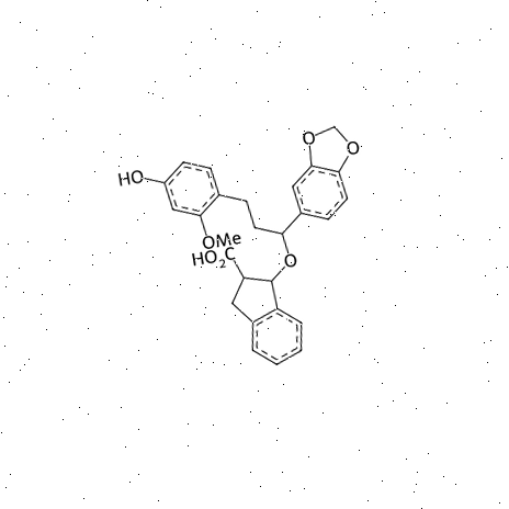 COc1cc(O)ccc1CCC(OC1c2ccccc2CC1C(=O)O)c1ccc2c(c1)OCO2